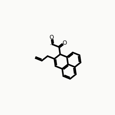 C=CCC1=Cc2cccc3cccc(c23)C1C(=O)[C]=O